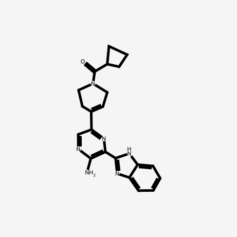 Nc1ncc(C2=CCN(C(=O)C3CCC3)CC2)nc1-c1nc2ccccc2[nH]1